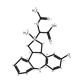 CC(=O)OC(C(=O)O)[N+]1(C)CC2c3ccccc3Oc3ccc(Cl)cc3C2C1